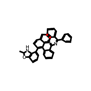 CC1Nc2c(cccc2-c2ccc3ccccc3c2-c2ccccc2-c2nc(-c3ccccc3)c3ccccc3n2)O1